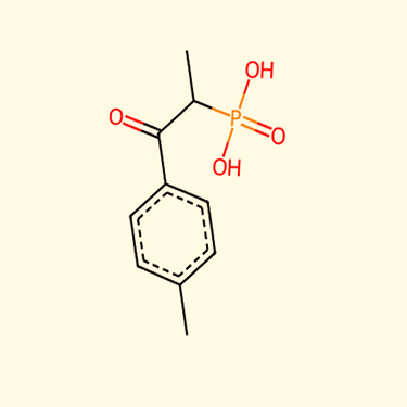 Cc1ccc(C(=O)C(C)P(=O)(O)O)cc1